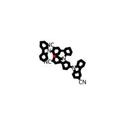 N#Cc1ccc2c(c1)c1ccccc1n2-c1ccc2c3cc(C#N)ccc3n(-c3ccccc3-c3ccc(-n4c5ccccc5c5ccccc54)c(C#N)c3)c2c1